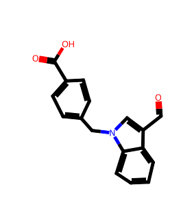 O=Cc1cn(Cc2ccc(C(=O)O)cc2)c2ccccc12